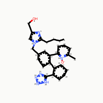 CCCCc1nc(CO)cn1Cc1ccc(-c2ccccc2-c2nnn[nH]2)c(-c2cccc(C)[n+]2[O-])c1